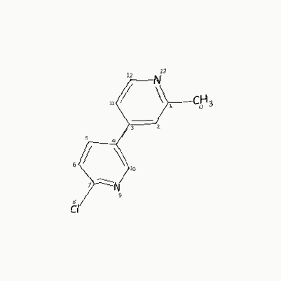 Cc1cc(-c2ccc(Cl)nc2)ccn1